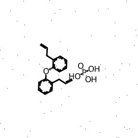 C=CCc1ccccc1Oc1ccccc1CC=C.O=P(O)(O)O